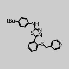 CC(C)(C)c1ccc(Nc2nnc(-c3ccccc3SCc3ccncc3)s2)cc1